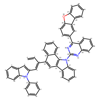 C=C/C(=C\c1cc2ccccc2n1-c1ccccc1)c1cc2c3ccccc3n(-c3nc(-c4ccc5oc6ccccc6c5c4)c4ccccc4n3)c2c2ccccc12